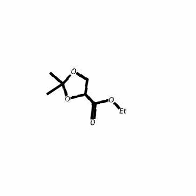 CCOC(=O)C1COC(C)(C)O1